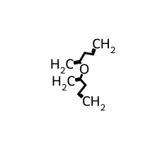 C=CCC(=C)OC(=C)CC=C